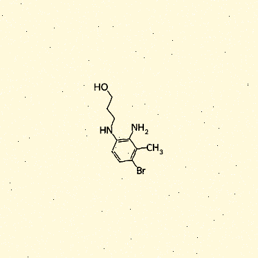 Cc1c(Br)ccc(NCCCO)c1N